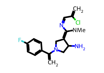 C=C(Cl)/C=N\C(NC)=C1/CN(C(=C)c2ccc(F)cc2)CC1N